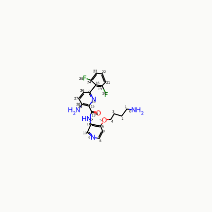 NCCCCOc1ccncc1NC(=O)c1nc(-c2c(F)cccc2F)ccc1N